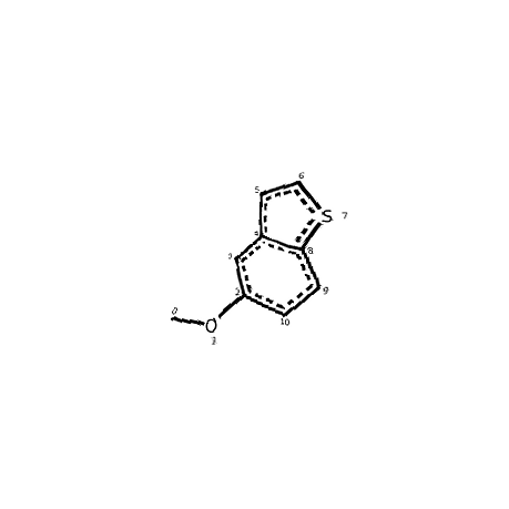 COc1[c]c2ccsc2cc1